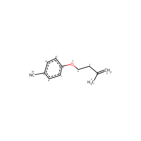 C=C(C)CCOc1ccc(C#N)cc1